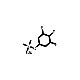 CC(C)(C)[Si](C)(C)OC1CC(F)C(F)C(F)C1